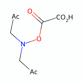 CC(=O)CN(CC(C)=O)OC(=O)C(=O)O